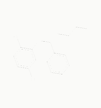 Clc1ccc(Cl)c(O[C@H](CCCI)c2ccccc2)c1